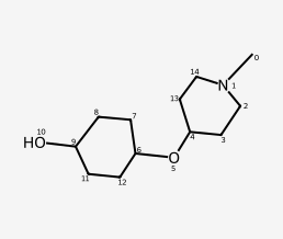 CN1CCC(OC2CCC(O)CC2)CC1